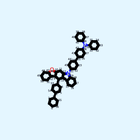 c1ccc(-c2ccc(-c3c4c(cc5c3c3ccccc3n5-c3ccc(-c5ccc(N(c6ccccc6)c6ccccc6)cc5)cc3)oc3ccccc34)cc2)cc1